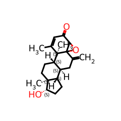 C=C1C[C@H]2[C@@H]3CC[C@H](O)[C@@]3(C)CC[C@@H]2[C@@]2(C)C(C)=CC(=O)C3OC132